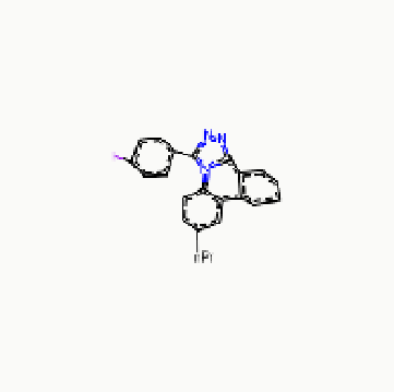 CCCc1ccc2c(c1)c1ccccc1c1nnc(-c3ccc(I)cc3)n21